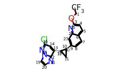 FC(F)(F)COc1ccc2ccc([C@H]3C[C@@H]3c3cc(Cl)nn4ccnc34)cc2n1